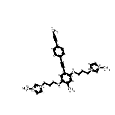 CC#Cc1ccc(C#Cc2cc(OCCC[n+]3ccn(C)c3)c(C)cc2OCCC[n+]2ccn(C)c2)cc1